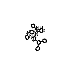 CC1(C)c2ccccc2N(c2ncc(-c3cc(-c4ccccc4)cc(-c4ccccc4)c3)cc2C/N=C(\N=C(/N)c2ccccc2)c2ccccc2)c2ccccc21